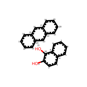 Oc1ccc2ccccc2c1O.c1ccc2cc3ccccc3cc2c1